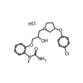 CN(C(N)=O)c1ccccc1OCC(O)CN1CCC(Oc2ccc(Cl)cc2)C1.Cl